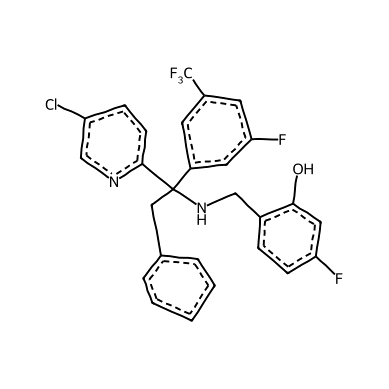 Oc1cc(F)ccc1CNC(Cc1ccccc1)(c1cc(F)cc(C(F)(F)F)c1)c1ccc(Cl)cn1